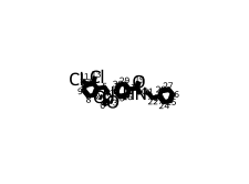 CS(=O)(=O)N(Cc1cccc(Cl)c1Cl)c1ccc(C(=O)NCCc2ccccc2)cc1